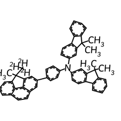 [2H]C([2H])([2H])C1(C)c2cccc3ccc4cc(-c5ccc(N(c6ccc7c(c6)C(C)(C)c6ccccc6-7)c6ccc7c(c6)C(C)(C)c6ccccc6-7)cc5)cc1c4c23